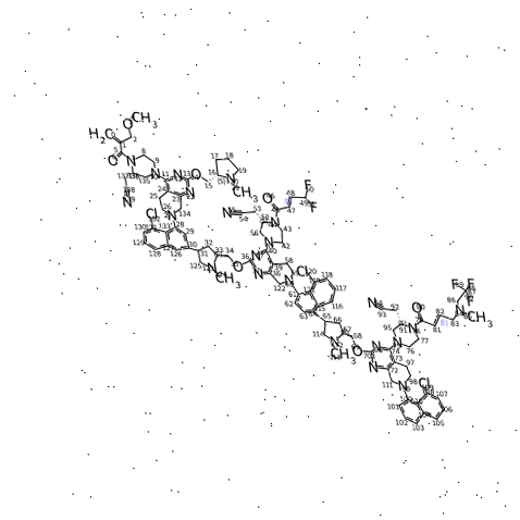 C=C(COC)C(=O)N1CCN(c2nc(OC[C@@H]3CCCN3C)nc3c2CCN(c2cc(C4C[C@@H](COc5nc6c(c(N7CCN(C(=O)/C=C/C(F)F)[C@@H](CC#N)C7)n5)CCN(c5ccc(C7C[C@@H](COc8nc9c(c(N%10CCN(C(=O)/C=C/CN(C)CC(F)(F)F)[C@@H](CC#N)C%10)n8)CCN(c8cccc%10cccc(Cl)c8%10)C9)N(C)C7)c7cccc(Cl)c57)C6)N(C)C4)cc4cccc(Cl)c24)C3)C[C@@H]1CC#N